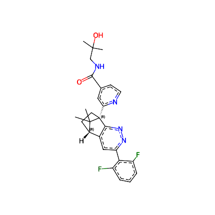 CC(C)(O)CNC(=O)c1ccnc([C@]23CC[C@@H](c4cc(-c5c(F)cccc5F)nnc42)C3(C)C)c1